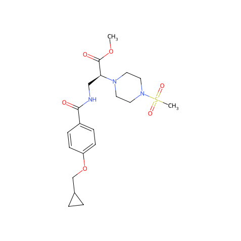 COC(=O)[C@H](CNC(=O)c1ccc(OCC2CC2)cc1)N1CCN(S(C)(=O)=O)CC1